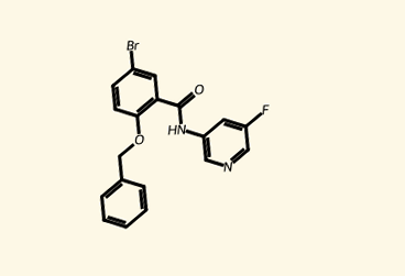 O=C(Nc1cncc(F)c1)c1cc(Br)ccc1OCc1ccccc1